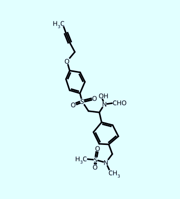 CC#CCOc1ccc(S(=O)(=O)CC(c2ccc(CN(C)S(C)(=O)=O)cc2)N(O)C=O)cc1